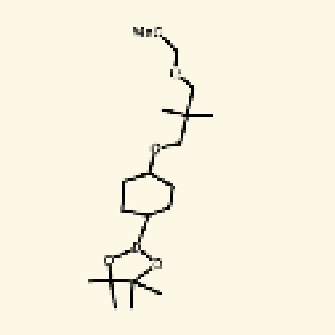 COCOCC(C)(C)COC1CCC(B2OC(C)(C)C(C)(C)O2)CC1